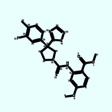 COC(=O)c1ccc(OC)cc1NC(=S)N1CC[C@](c2ccc(C)c(F)c2)(c2ncns2)C1